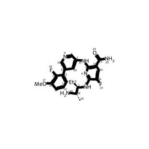 CC[C@@H](Nc1nc(Nc2cncc(-c3cccc(OC)c3F)c2)c(C(N)=O)cc1F)[C@H](C)N